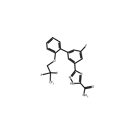 NC(=O)c1nc(-c2cc(F)cc(-c3ccccc3OCC(F)(F)C(F)(F)F)c2)n[nH]1